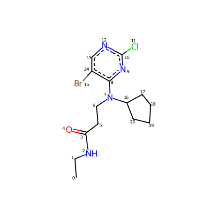 CCNC(=O)CCN(c1nc(Cl)ncc1Br)C1CCCC1